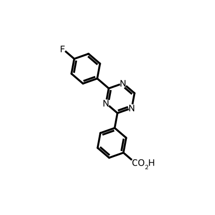 O=C(O)c1cccc(-c2ncnc(-c3ccc(F)cc3)n2)c1